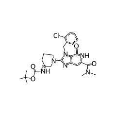 CN(C)C(=O)c1cc2nc(N3CCC[C@@H](NC(=O)OC(C)(C)C)C3)n(Cc3ccccc3Cl)c2c(=O)[nH]1